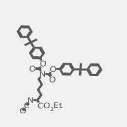 CCOC(=O)C(CCCCN(C(=O)Oc1ccc(C(C)(C)c2ccccc2)cc1)C(=O)Oc1ccc(C(C)(C)c2ccccc2)cc1)N=C=O